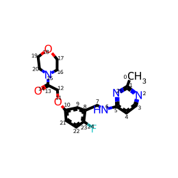 Cc1nccc(NCc2cc(OCC(=O)N3CCOCC3)ccc2F)n1